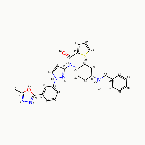 Cc1nnc(-c2cccc(-n3ccc(N(C(=O)c4cccs4)[C@H]4CC[C@@H](N(C)Cc5ccccc5)CC4)n3)c2)o1